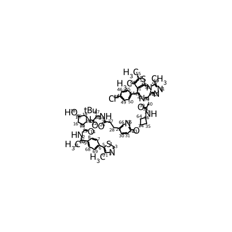 Cc1ncsc1-c1ccc([C@H](C)NC(=O)[C@@H]2C[C@@H](O)CN2C(=O)[C@@H](NC(=O)CCc2ccc(O[C@H]3C[C@H](NC(=O)C[C@@H]4N=C(c5ccc(Cl)cc5)c5c(sc(C)c5C)-n5c(C)nnc54)C3)nc2)C(C)(C)C)cc1